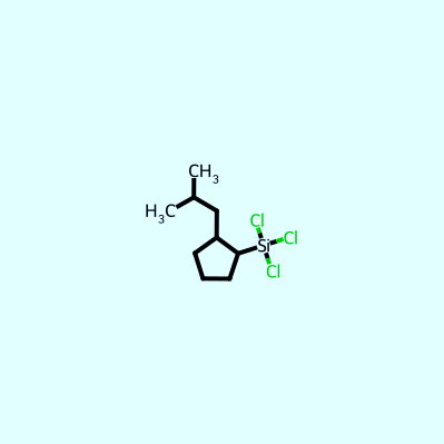 CC(C)CC1CCCC1[Si](Cl)(Cl)Cl